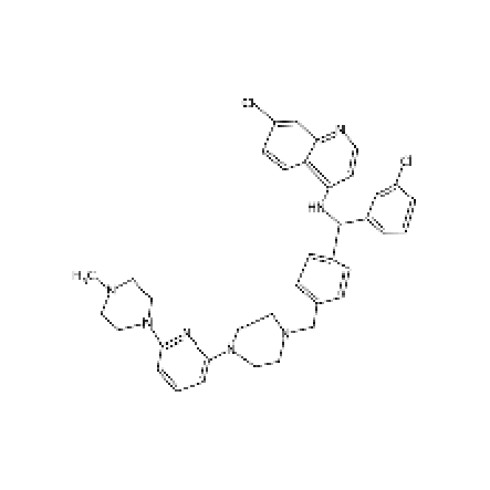 CN1CCN(c2cccc(N3CCN(Cc4ccc(C(Nc5ccnc6cc(Cl)ccc56)c5cccc(Cl)c5)cc4)CC3)n2)CC1